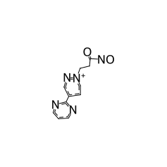 O=NC(=O)CC[n+]1ccc(-c2ncccn2)cn1